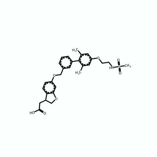 Cc1cc(OCCNS(C)(=O)=O)cc(C)c1-c1cccc(COc2ccc3c(c2)OCC3CC(=O)O)c1